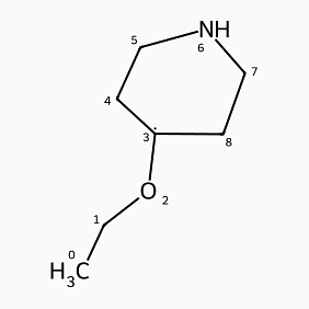 CCO[C]1CCNCC1